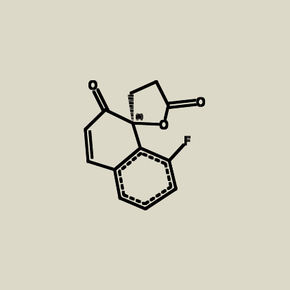 O=C1CC[C@@]2(O1)C(=O)C=Cc1cccc(F)c12